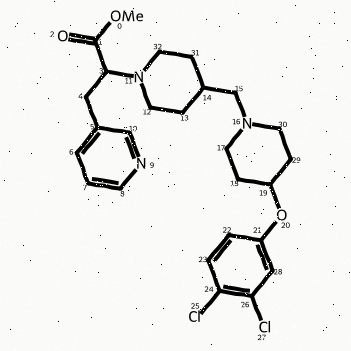 COC(=O)C(Cc1cccnc1)N1CCC(CN2CCC(Oc3ccc(Cl)c(Cl)c3)CC2)CC1